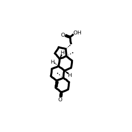 C[C@]12CC[C@H]3[C@@H](CCC4=CC(=O)CC[C@@]43C)[C@@H]1CC[C@@H]2CC(=O)O